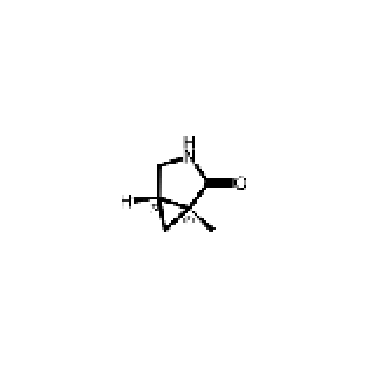 C[C@@]12C[C@@H]1CNC2=O